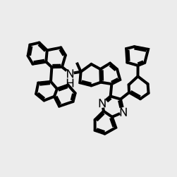 CC1(Nc2ccc3ccccc3c2-c2cccc3ccccc23)C=Cc2c(cccc2-c2nc3ccccc3nc2C2=CCCC(c3ccccc3)C2)C1